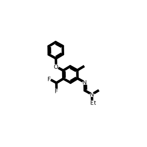 CCN(C)C=Nc1cc(C(F)F)c(Oc2ccccc2)cc1C